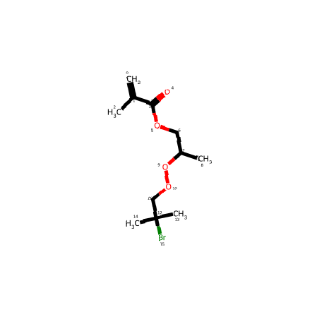 C=C(C)C(=O)OCC(C)OOCC(C)(C)Br